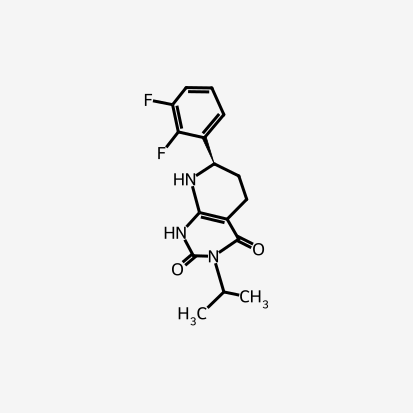 CC(C)n1c(=O)[nH]c2c(c1=O)CC[C@H](c1cccc(F)c1F)N2